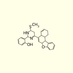 CSC1CC(C2=CC3Oc4ccccc4C3C3CCC=CC23)=NC(c2ccccc2O)N1